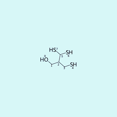 OCC(CS)C(S)S